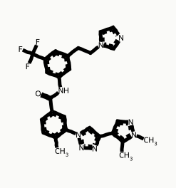 Cc1ccc(C(=O)Nc2cc(CCn3ccnc3)cc(C(F)(F)F)c2)cc1-n1cc(-c2cnn(C)c2C)nn1